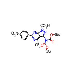 CC(C)(C)OC(=O)N(C(=O)OC(C)(C)C)c1nn(C(=O)O)c2nc(-c3ccc([N+](=O)[O-])cc3)nc(C(F)(F)F)c12